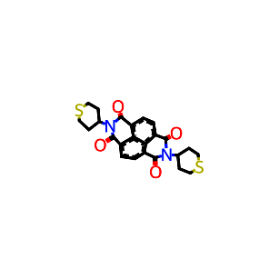 O=C1c2ccc3c4c(ccc(c24)C(=O)N1C1CCSCC1)C(=O)N(C1CCSCC1)C3=O